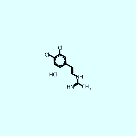 CC(=N)NC=Cc1ccc(Cl)c(Cl)c1.Cl